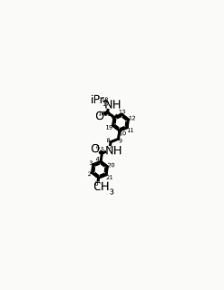 Cc1ccc(C(=O)NCCc2cccc(C(=O)NC(C)C)c2)cc1